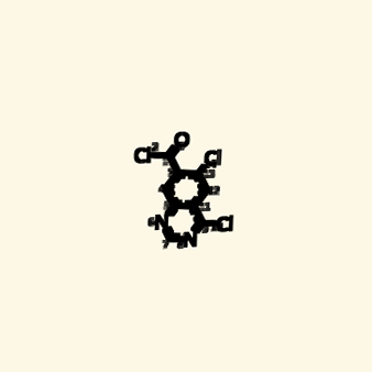 O=C(Cl)c1cc2ncnc(Cl)c2cc1Cl